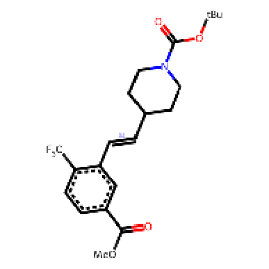 COC(=O)c1ccc(C(F)(F)F)c(/C=C/C2CCN(C(=O)OC(C)(C)C)CC2)c1